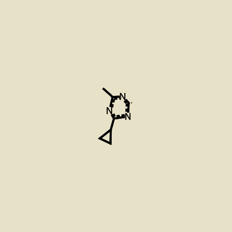 Cc1n[c]nc(C2CC2)n1